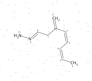 C=C(/C=C\C=C/C)C/C=N/N